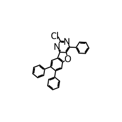 Clc1nc(-c2ccccc2)c2oc3cc(-c4ccccc4)c(-c4ccccc4)cc3c2n1